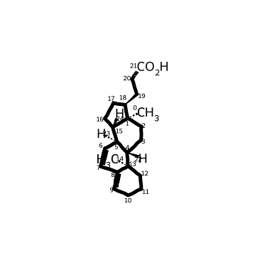 C[C@]12CC[C@H]3[C@@H](C=CC4=CCCC[C@@]43C)[C@@H]1CC[C@H]2CCC(=O)O